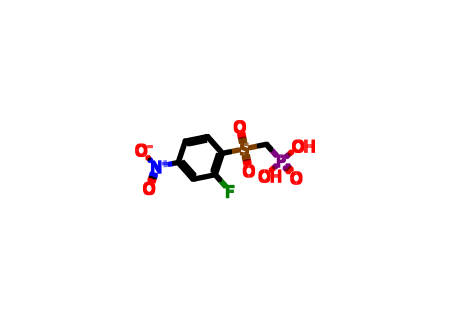 O=[N+]([O-])c1ccc(S(=O)(=O)CP(=O)(O)O)c(F)c1